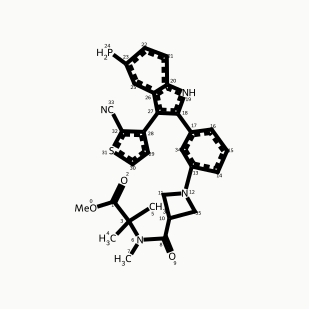 COC(=O)C(C)(C)N(C)C(=O)C1CN(c2cccc(-c3[nH]c4ccc(P)cc4c3-c3ccsc3C#N)c2)C1